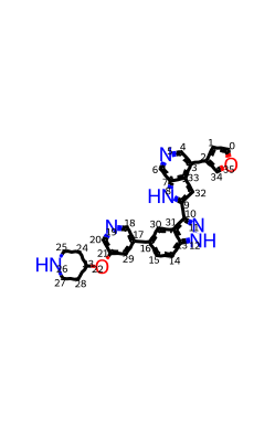 c1cc(-c2cncc3[nH]c(-c4n[nH]c5ccc(-c6cncc(OC7CCNCC7)c6)cc45)cc23)co1